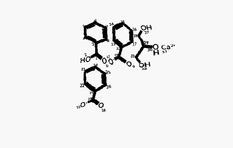 O=C(O)c1ccccc1.O=C([O-])c1ccccc1.O=C([O-])c1ccccc1.OCC(O)CO.[Ca+2]